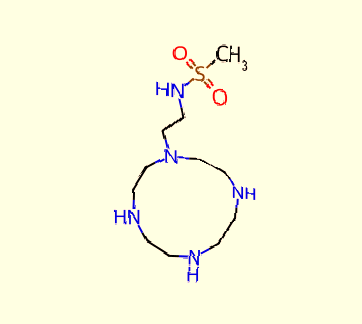 CS(=O)(=O)NCCN1CCNCCNCCNCC1